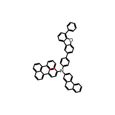 c1ccc(-c2cccc3c2oc2ccc(-c4ccc(N(c5ccc(-c6cccc7cccc(-c8ccccc8)c67)cc5)c5ccc6c(ccc7ccccc76)c5)cc4)cc23)cc1